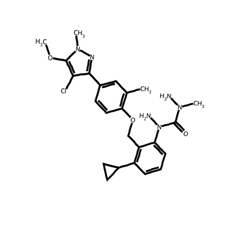 COc1c(Cl)c(-c2ccc(OCc3c(C4CC4)cccc3N(N)C(=O)N(C)N)c(C)c2)nn1C